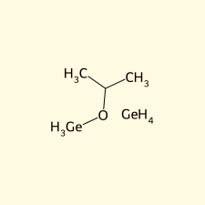 CC(C)[O][GeH3].[GeH4]